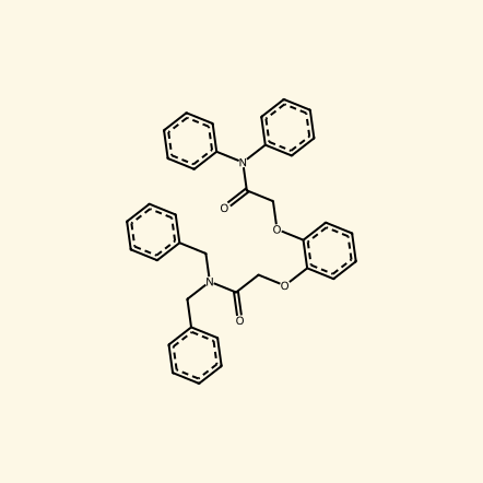 O=C(COc1ccccc1OCC(=O)N(c1ccccc1)c1ccccc1)N(Cc1ccccc1)Cc1ccccc1